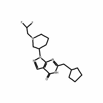 O=c1[nH]c(CC2CCCC2)nc2c1cnn2C1CCCN(CC(F)F)C1